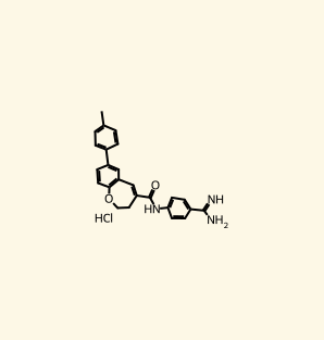 Cc1ccc(-c2ccc3c(c2)C=C(C(=O)Nc2ccc(C(=N)N)cc2)CCO3)cc1.Cl